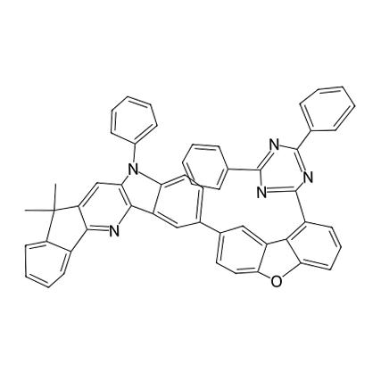 CC1(C)c2ccccc2-c2nc3c4cc(-c5ccc6oc7cccc(-c8nc(-c9ccccc9)nc(-c9ccccc9)n8)c7c6c5)ccc4n(-c4ccccc4)c3cc21